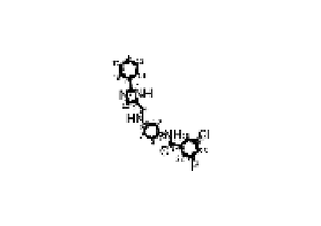 O=C(N[C@H]1CC[C@H](NCc2cnc(-c3ccccc3)[nH]2)C1)c1cc(F)cc(Cl)c1